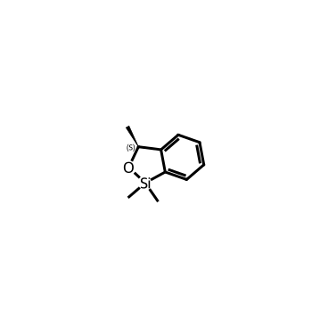 C[C@@H]1O[Si](C)(C)c2ccccc21